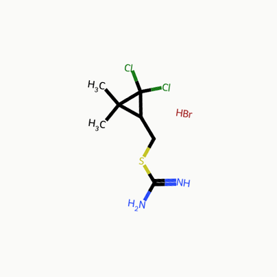 Br.CC1(C)C(CSC(=N)N)C1(Cl)Cl